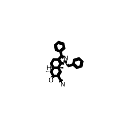 C[C@H]1C(=O)C(C#N)=C[C@@]2(C)c3c(c(-c4ccccc4)nn3Cc3ccccc3)CC[C@H]12